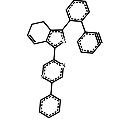 c1cccc(-c2ccccc2-c2sc(-c3cnc(-c4ccccc4)cn3)c3c2CCC=C3)c#1